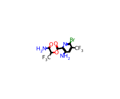 NC(=O)C(OC(=O)c1nc(Br)c(C(F)(F)F)cc1N)C(F)(F)F